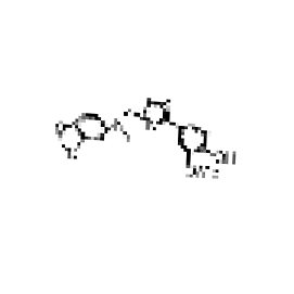 COc1cc(-c2nc(CN(C)c3ccc4c(c3)OCO4)cs2)ccc1O